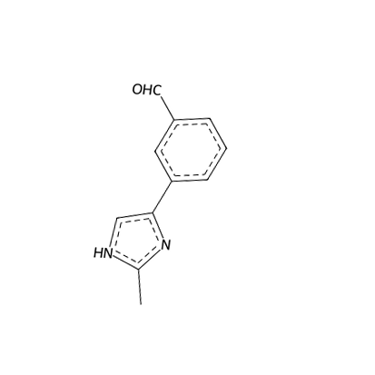 Cc1nc(-c2cccc(C=O)c2)c[nH]1